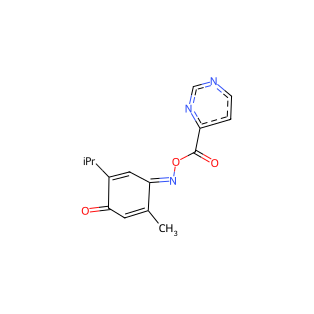 CC1=CC(=O)C(C(C)C)=C/C1=N\OC(=O)c1ccncn1